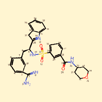 N=C(N)c1cccc(C[C@H](NS(=O)(=O)c2cccc(C(=O)NC3CCOCC3)c2)C2=Nc3ccccc3C2)c1